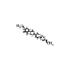 CCC[C@H]1CC[C@H]([C@H]2CC[C@H]([C@H]3CC[C@H](c4ccc(OCC)c(F)c4F)CC3)CC2)CO1